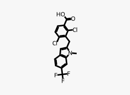 Cn1c(Cc2c(Cl)ccc(C(=O)O)c2Cl)cc2ccc(C(F)(F)F)cc21